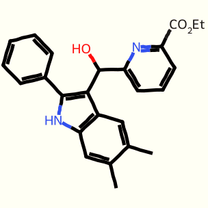 CCOC(=O)c1cccc(C(O)c2c(-c3ccccc3)[nH]c3cc(C)c(C)cc23)n1